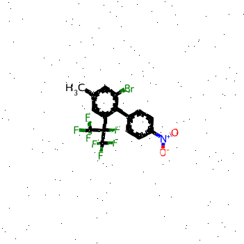 Cc1[c]c(Br)c(-c2ccc([N+](=O)[O-])cc2)c(C(F)(C(F)(F)F)C(F)(F)F)c1